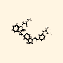 CN(C)Cc1cccc(/C=C/c2n[nH]c3cc(C4C[C@@]45C(=O)N(CC(N)=O)c4ccccc45)ccc23)c1